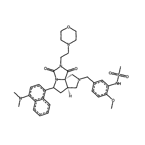 COc1ccc(CN2C[C@H]3CC(c4ccc(N(C)C)c5ccccc45)N4C(=O)N(CCN5CCOCC5)C(=O)[C@@]34C2)cc1NS(C)(=O)=O